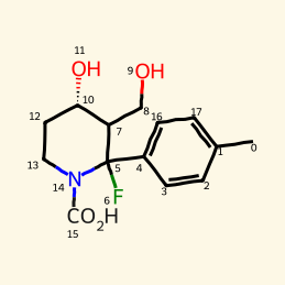 Cc1ccc(C2(F)C(CO)[C@@H](O)CCN2C(=O)O)cc1